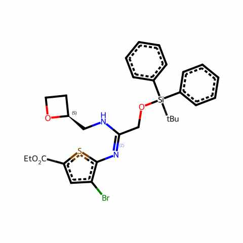 CCOC(=O)c1cc(Br)c(/N=C(/CO[Si](c2ccccc2)(c2ccccc2)C(C)(C)C)NC[C@@H]2CCO2)s1